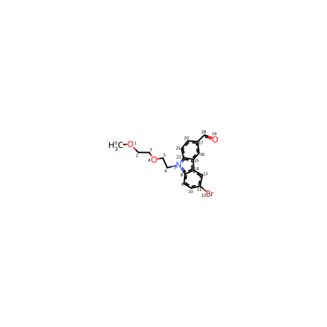 COCCOCCn1c2ccc(Br)cc2c2cc(C=O)ccc21